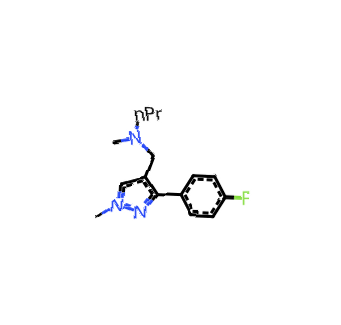 CCCN(C)Cc1cn(C)nc1-c1ccc(F)cc1